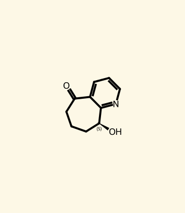 O=C1CCC[C@H](O)c2ncccc21